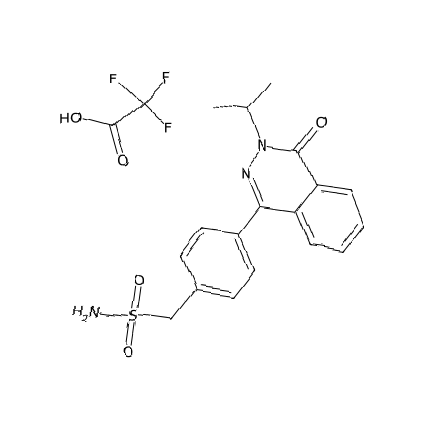 CC(C)n1nc(-c2ccc(CS(N)(=O)=O)cc2)c2ccccc2c1=O.O=C(O)C(F)(F)F